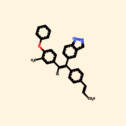 CCC(=C(c1ccc(C=CC(=O)O)cc1)c1ccc2[nH]ncc2c1)c1ccc(Oc2ccccc2)c(C)c1